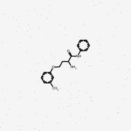 Cc1cccc(OCCC(N)C(=O)Nc2ccccc2)c1